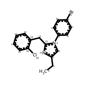 CCc1cn(-c2ccc(Br)cc2)c(Cc2ccccc2Cl)n1